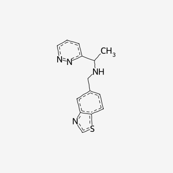 CC(NCc1ccc2scnc2c1)c1cccnn1